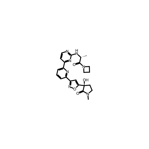 C[C@@H](Nc1nccc(-c2cccc(-c3cc([C@]4(O)CCN(C)C4=O)on3)n2)n1)C(=O)N1CCC1